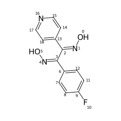 ON=C(C(=NO)c1ccc(F)cc1)c1ccncc1